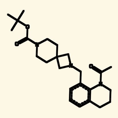 CC(=O)N1CCCc2cccc(CN3CC4(CCN(C(=O)OC(C)(C)C)CC4)C3)c21